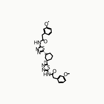 COc1cccc(CC(=O)Nc2nnc([C@@H]3CCC[C@@H](c4nnc(NC(=O)Cc5cccc(OC)c5)s4)C3)s2)c1